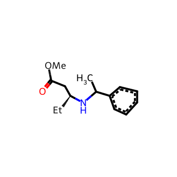 CC[C@@H](CC(=O)OC)NC(C)c1ccccc1